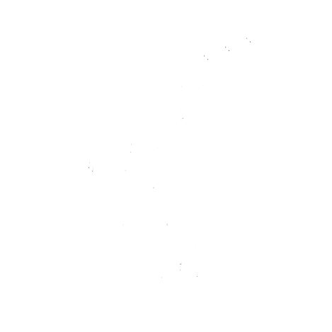 CC(C)(C)[Si](C)(C)OCc1ccc(N)c(OCCOCCN=[N+]=[N-])c1